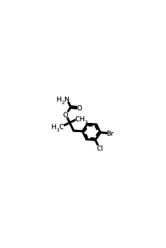 CC(C)(Cc1ccc(Br)c(Cl)c1)OC(N)=O